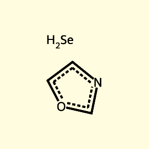 [SeH2].c1cocn1